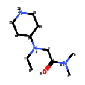 CCN(CC(=O)N(C)C)C1CC[N]CC1